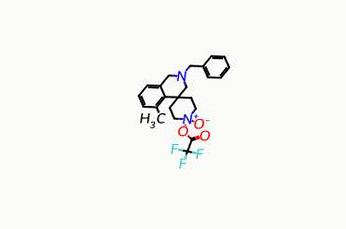 Cc1cccc2c1C1(CC[N+]([O-])(OC(=O)C(F)(F)F)CC1)CN(Cc1ccccc1)C2